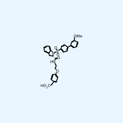 COc1cccc(-c2ccc(S(=O)(=O)N3c4ccccc4C[C@H]3C(=O)NCCOc3ccc(CC(=O)O)cc3)cc2)c1